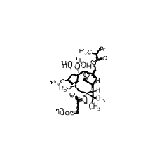 CCCCCCCCCCCC(=O)O[C@@]12C[C@@H](C)C34C=C(C)[C@H](O)[C@@]3(O)[C@H](O)C(COC(=O)C(C)C(C)C)=C[C@H](C4=O)[C@@H]1C2(C)C